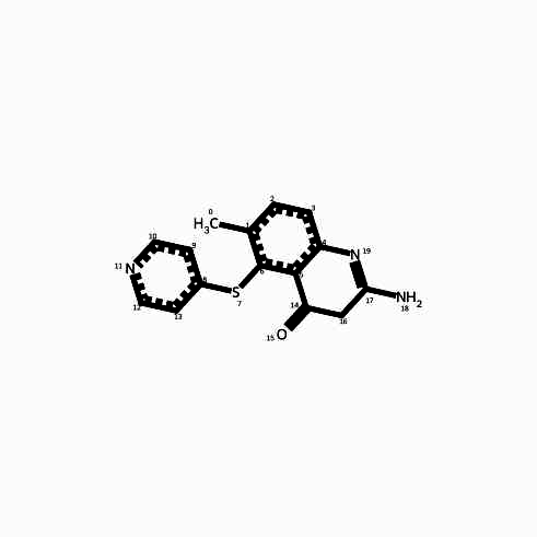 Cc1ccc2c(c1Sc1ccncc1)C(=O)CC(N)=N2